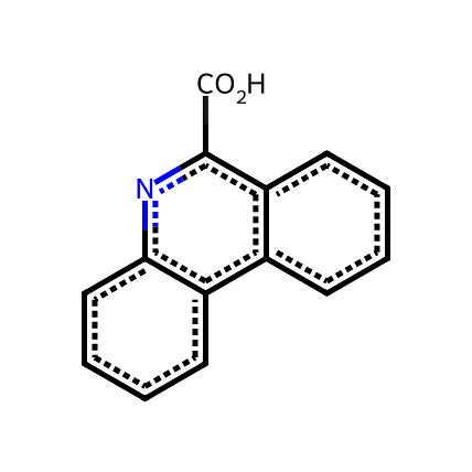 O=C(O)c1nc2ccccc2c2ccccc12